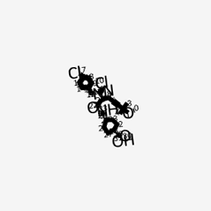 COC(C)(C)C#Cc1nc(Cl)n(Cc2ccc(Cl)cc2)c1C(=O)NC[C@H]1CC[C@H](C(=O)O)CC1